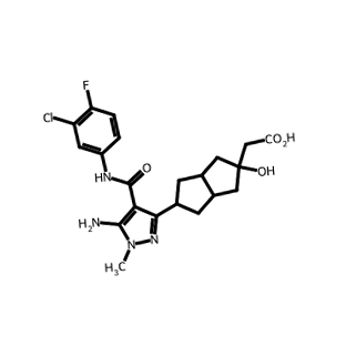 Cn1nc(C2CC3CC(O)(CC(=O)O)CC3C2)c(C(=O)Nc2ccc(F)c(Cl)c2)c1N